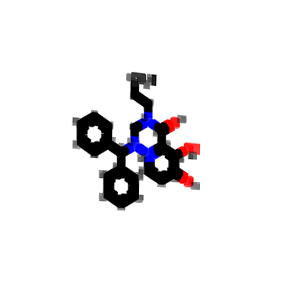 O=C(O)CCN1CN(C(c2ccccc2)c2ccccc2)n2ccc(=O)c(O)c2C1=O